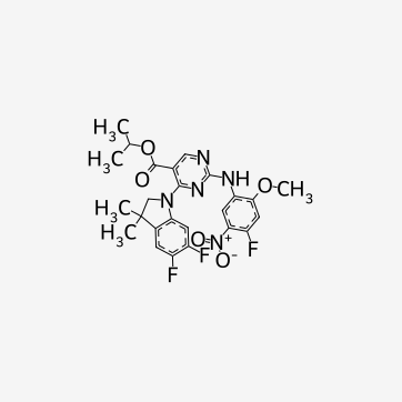 COc1cc(F)c([N+](=O)[O-])cc1Nc1ncc(C(=O)OC(C)C)c(N2CC(C)(C)c3cc(F)c(F)cc32)n1